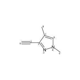 C#Cc1nn(C)cc1C